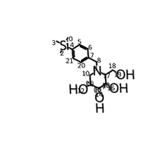 C[Si](C)(C)c1ccc(CN2C[C@H](O)[C@@H](O)[C@H](O)C2CO)cc1